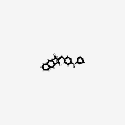 CN(c1ccccc1)c1ccc(C=C2C(=O)c3cc4ccccc4cc3C2=O)cc1